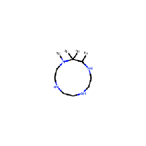 [2H]C1NCCNCCNCCN([2H])C1([2H])[2H]